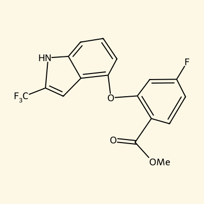 COC(=O)c1ccc(F)cc1Oc1cccc2[nH]c(C(F)(F)F)cc12